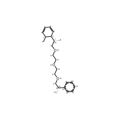 CC1C=CC=CC1[C@H](C)COCCOCCOC[C@@H](C)c1ccccc1